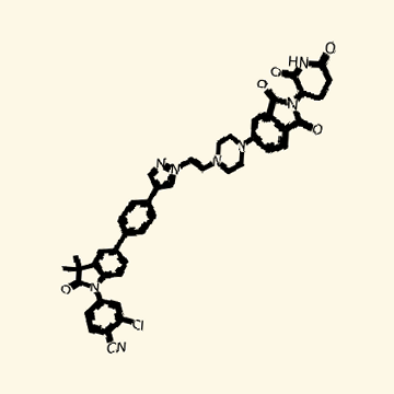 CC1(C)C(=O)N(c2ccc(C#N)c(Cl)c2)c2ccc(-c3ccc(-c4cnn(CCN5CCN(c6ccc7c(c6)C(=O)N(C6CCC(=O)NC6=O)C7=O)CC5)c4)cc3)cc21